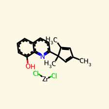 CC1=CC(C)(c2ccc3cccc(O)c3n2)C(C)=C1.[Cl][Zr][Cl]